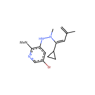 C=C(C)/C=C(/C1CC1)N(C)Nc1cc(Br)cnc1NC